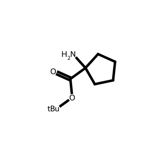 CC(C)(C)OC(=O)C1(N)CCCC1